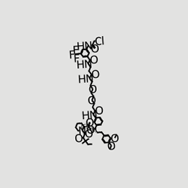 CCC(C)(C)C(=O)C(=O)N1CCCC[C@H]1C(=O)O[C@H](CCc1ccc(OC)c(OC)c1)c1cccc(NC(=O)CCOCCOCCNC(=O)CCNC(=O)c2cc(NC(=O)CCl)cc(C(F)(F)F)c2)c1